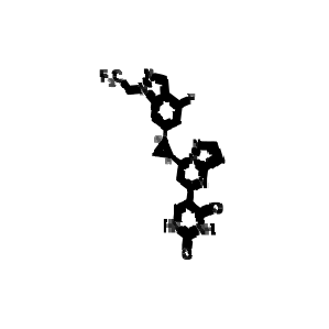 O=c1[nH]cc(-c2cc([C@H]3C[C@@H]3c3cc(F)c4cnn(CC(F)(F)F)c4c3)n3nccc3n2)c(=O)[nH]1